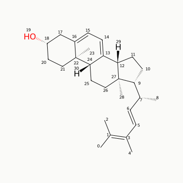 CC(C)=C(C)/C=C/[C@@H](C)[C@H]1CC[C@H]2C3=CC=C4C[C@@H](O)CC[C@]4(C)[C@H]3CC[C@]12C